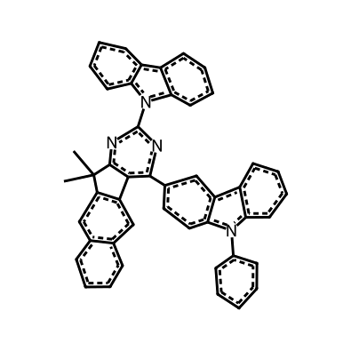 CC1(C)c2cc3ccccc3cc2-c2c(-c3ccc4c(c3)c3ccccc3n4-c3ccccc3)nc(-n3c4ccccc4c4ccccc43)nc21